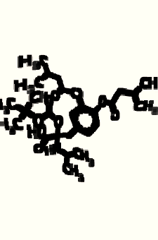 CC(C)CC(=O)Oc1ccc(C[C@](NC(C)C)(OC(=O)OC(C)(C)C)C(=O)O)cc1OC(=O)CC(C)C